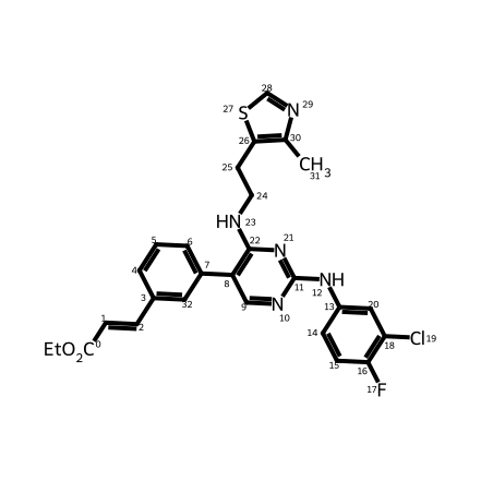 CCOC(=O)/C=C/c1cccc(-c2cnc(Nc3ccc(F)c(Cl)c3)nc2NCCc2scnc2C)c1